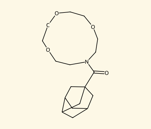 O=C(N1CCOCCOCCOCC1)C12CC3CC(C1)C(C3)C2